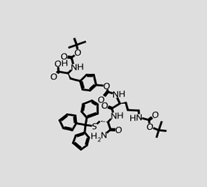 CC(C)(C)OC(=O)NCCC[C@H](NC(=O)Oc1ccc(C[C@H](NC(=O)OC(C)(C)C)C(=O)O)cc1)C(=O)N[C@@H](CSC(c1ccccc1)(c1ccccc1)c1ccccc1)C(N)=O